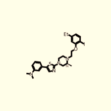 CCc1ccc(I)c(OCCN2CCN(c3ncc(-c4cccc(N(C)C)c4)s3)C[C@@H]2C)c1